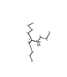 CCCCC(CCCC)NCCC